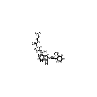 CN(C)C/C=C/C(=O)N1CC[C@@H](Nc2ncnc3[nH]c(C#Cc4ccccc4Cl)cc23)C1